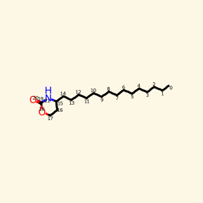 CCCCCCCCCCCCCCCC1CCOC(=O)N1